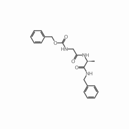 C[C@H](NC(=O)CNC(=O)OCc1ccccc1)C(=O)NCc1ccccc1